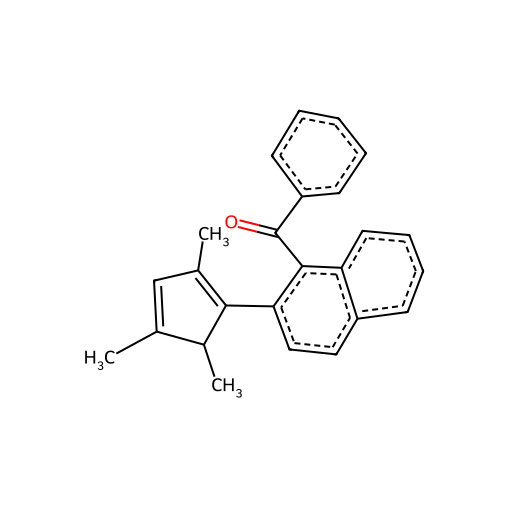 CC1=CC(C)=C(c2ccc3ccccc3c2C(=O)c2ccccc2)C1C